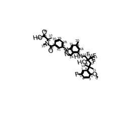 COc1ccc(F)cc1C(C)(C)CC(O)(CNc1cc(C)cc2c1cnn2-c1cccc(C(=O)N(C)[C@H](C)C(=O)O)c1)C(F)(F)F